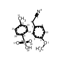 COc1ccc(CC#N)cc1.Cc1ccc(S(=O)(=O)O)cc1